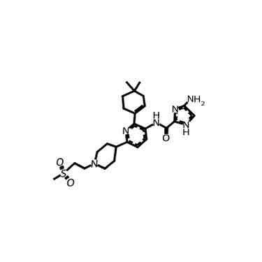 CC1(C)CC=C(c2nc(C3CCN(CCS(C)(=O)=O)CC3)ccc2NC(=O)c2nc(N)c[nH]2)CC1